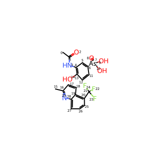 CC(=O)Nc1cc([As](=O)(O)O)ccc1O.Cc1ccc2c(C(F)(F)F)cccc2n1